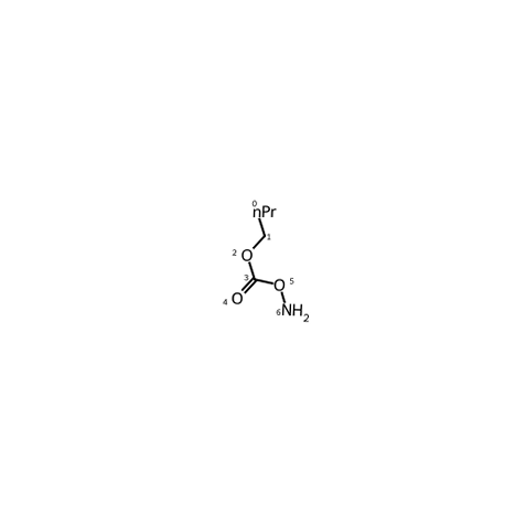 CCCCOC(=O)ON